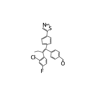 CCC(=C(c1ccc(C=O)cc1)c1ccc(-c2cncs2)cc1)c1ccc(F)cc1Cl